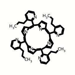 CCCc1cccnc1-c1c2nc(c(-c3ncccc3CCC)c3ccc([nH]3)c(-c3ncccc3CCC)c3nc(c(-c4ncccc4CCC)c4ccc1[nH]4)C=C3)C=C2